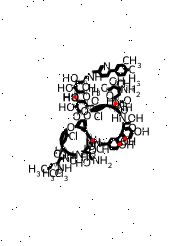 CN[C@H](CC(C)C)C(=O)NC1C(=O)N[C@@H](CC(N)=O)C(=O)N[C@H]2C(=O)N[C@@H](C)c3ccc(O)c(c3)-c3c(O)cc(O)cc3C(C(=O)O)NC(=O)[C@@H](NC=O)[C@H](O[C@H]3C[C@](C)(N)[C@@H](O)[C@H](C)O3)c3ccc(c(Cl)c3)Oc3cc2cc(c3O[C@@H]2O[C@H](CO)[C@@H](O[C@@H]3O[C@H](CNCc4ccc(-c5ccc(C)c(C)c5)nc4)[C@H](O)[C@H](O)[C@H]3O)[C@H](O)[C@H]2O)Oc2ccc(cc2Cl)[C@H]1O